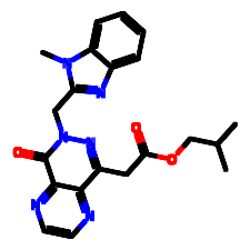 CC(C)COC(=O)Cc1nn(Cc2nc3ccccc3n2C)c(=O)c2nccnc12